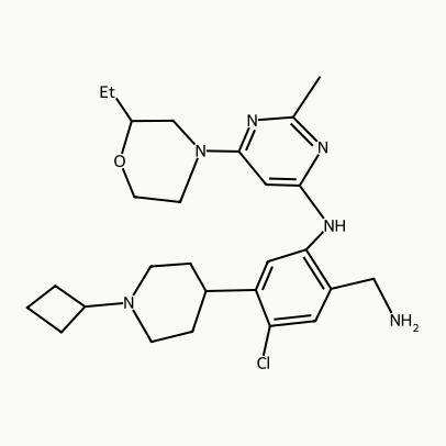 CCC1CN(c2cc(Nc3cc(C4CCN(C5CCC5)CC4)c(Cl)cc3CN)nc(C)n2)CCO1